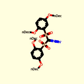 CCCCCCCCCCOc1ccc(OCCCCCCCCCC)c(S(=O)(=O)C(=[N+]=[N-])S(=O)(=O)c2cc(OCCCCCCCCCC)ccc2OCCCCCCCCCC)c1